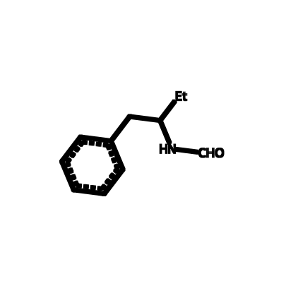 CCC(Cc1ccccc1)NC=O